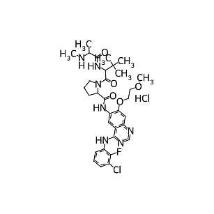 CNC(C)C(=O)NC(C(=O)N1CCCC1C(=O)Nc1cc2c(Nc3cccc(Cl)c3F)ncnc2cc1OCCOC)C(C)(C)C.Cl